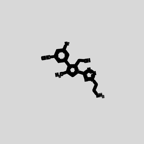 Cc1cn(-c2nnn(CCN)n2)c(CO)c1-c1cc(Br)cc(C=O)c1